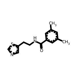 Cc1cc(C)cc(C(=O)NCCc2cncs2)c1